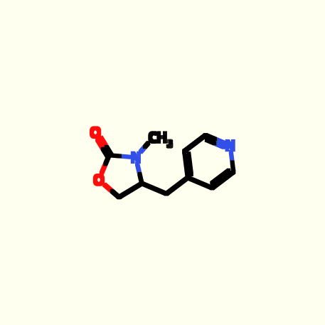 CN1C(=O)OCC1Cc1ccncc1